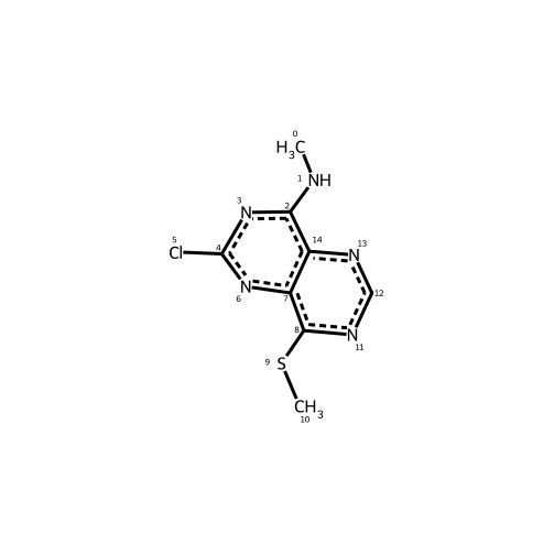 CNc1nc(Cl)nc2c(SC)ncnc12